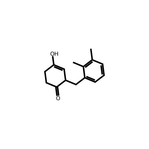 Cc1cccc(CC2C=C(O)CCC2=O)c1C